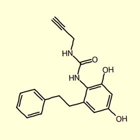 C#CCNC(=O)Nc1c(O)cc(O)cc1CCc1ccccc1